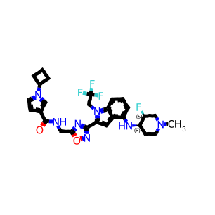 CN1CC[C@@H](Nc2cccc3c2cc(-c2noc(CNC(=O)c4ccn(C5CCC5)c4)n2)n3CC(F)(F)F)[C@@H](F)C1